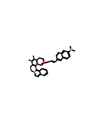 Cc1c(C)c2c(c3c1CC[n+]1ccc4ccccc4c1-3)-c1cccc(/C=C/c3ccc4cc(N(C)C)ccc4c3)[n+]1CC2